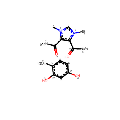 CCn1c[n+](C)c(C(=O)NC)c1C(=O)NC.O=C([O-])c1ccc(O)cc1O